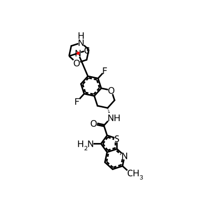 Cc1ccc2c(N)c(C(=O)N[C@H]3COc4c(F)c(N5CC6COC(CN6)C5)cc(F)c4C3)sc2n1